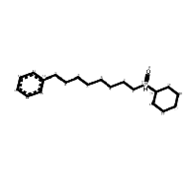 O=[PH](CCCCCCCCc1ccccc1)C1CCCCC1